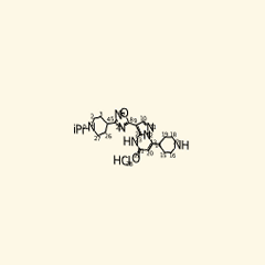 CC(C)N1CCC(c2noc(-c3cnn4c(C5CCNCC5)cc(=O)[nH]c34)n2)CC1.Cl